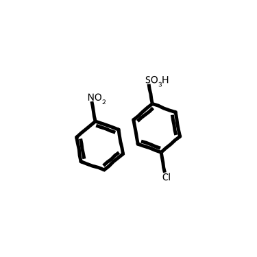 O=S(=O)(O)c1ccc(Cl)cc1.O=[N+]([O-])c1ccccc1